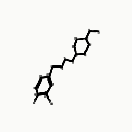 CCC1CCC(CCC=Cc2ccc(F)c(F)c2)CC1